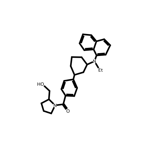 CCN(c1cccc2ccccc12)C1CCCC(c2ccc(C(=O)N3CCCC3CO)cc2)C1